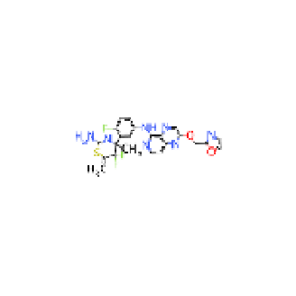 C[C@H]1SC(N)=N[C@](C)(c2cc(Nc3nccc4nc(OCc5ncco5)cnc34)ccc2F)C1(F)F